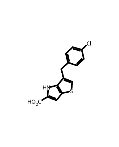 O=C(O)c1cc2scc(Cc3ccc(Cl)cc3)c2[nH]1